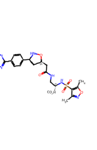 Cc1noc(C)c1S(=O)(=O)N[C@@H](CNC(=O)C[C@H]1CC(c2ccc(C(=N)N)cc2)NO1)C(=O)O